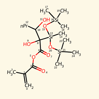 C=C(C)C(=O)OC(=O)C(O)(C(O)CCC)[Si](C)(O[Si](C)(C)C)O[Si](C)(C)C